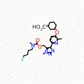 Cc1nc(-c2nnn(C)c2COC(=O)N(C)CCCCF)ccc1O[C@H]1CCC[C@@H](C(=O)O)C1